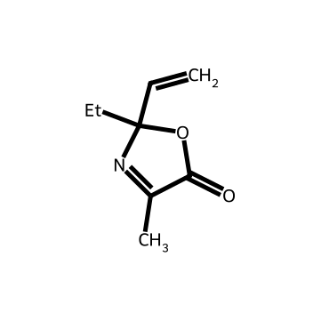 C=CC1(CC)N=C(C)C(=O)O1